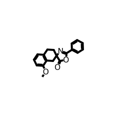 COc1cccc2c1CC1(CC2)N=C(c2ccccc2)OC1=O